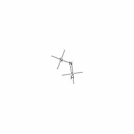 C[Si](C)(C)N=[SH](C)(C)C